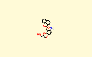 Nc1ccc2c(c1CS(=O)(=O)c1cccc3ccccc13)OC(CO)CO2